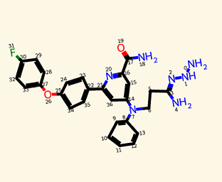 NN/N=C(\N)CCN(c1ccccc1)c1cc(C(N)=O)nc(-c2ccc(Oc3ccc(F)cc3)cc2)c1